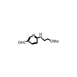 COCCNc1ccc(C=O)cn1